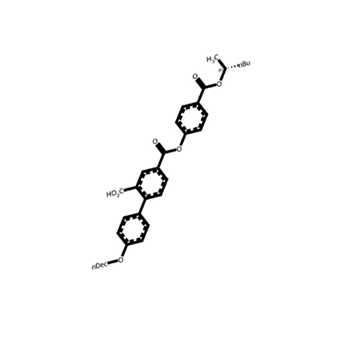 CCCCCCCCCCOc1ccc(-c2ccc(C(=O)Oc3ccc(C(=O)O[C@H](C)CCCC)cc3)cc2C(=O)O)cc1